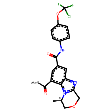 CNC(=O)c1cc(C(=O)Nc2ccc(OC(F)(F)Cl)cc2)cc2nc3n(c12)[C@H](C)COC3